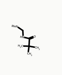 CNCNC(=O)C(C)(C)C